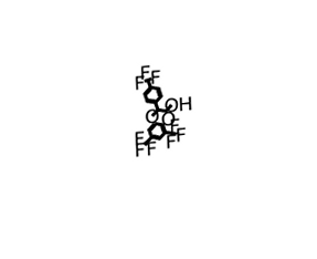 O=C(O)C(Oc1cc(C(F)(F)F)cc(C(F)(F)F)c1)c1ccc(C(F)(F)F)cc1